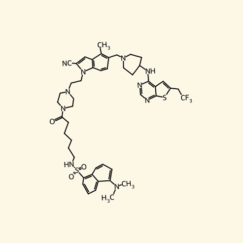 Cc1c(CN2CCC(Nc3ncnc4sc(CC(F)(F)F)cc34)CC2)ccc2c1cc(C#N)n2CCN1CCN(C(=O)CCCCCNS(=O)(=O)c2cccc3c(N(C)C)cccc23)CC1